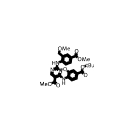 COCc1cc(C(=O)OC)ccc1Nc1ncc(C(=O)OC)c(Nc2ccc(C(=O)OC(C)(C)C)cc2OC)n1